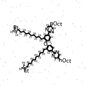 CCCCCCCCc1cnc(-c2ccc(Oc3ccc(-c4ncc(CCCCCCCC)cn4)cc3CCCCCCCCCC[Si](C)(C)CC)c(CCCCCCCCCC[Si](C)(C)CC)c2)nc1